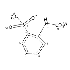 O=C(O)Nc1ccccc1S(=O)(=O)C(F)(F)F